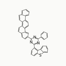 c1ccc(-c2nc(-c3ccc4ccc5c(ccc6c7ccccc7ccc65)c4c3)nc(-c3cccc4sc5ccccc5c34)n2)cc1